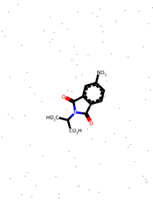 O=C(O)C(C(=O)O)N1C(=O)c2ccc([N+](=O)[O-])cc2C1=O